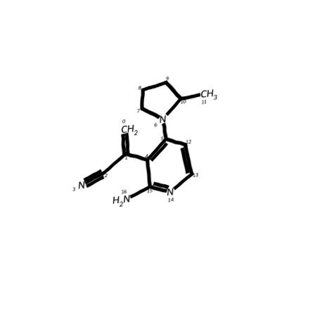 C=C(C#N)c1c(N2CCCC2C)ccnc1N